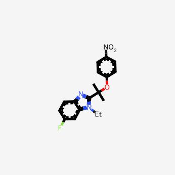 CCn1c(C(C)(C)Oc2ccc([N+](=O)[O-])cc2)nc2ccc(F)cc21